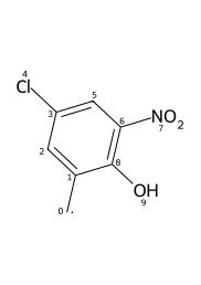 [CH2]c1cc(Cl)cc([N+](=O)[O-])c1O